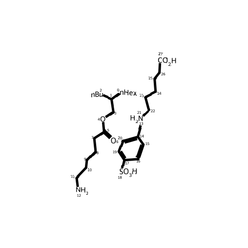 CCCCCCC(CCCC)COC(=O)CCCCCN.Cc1ccc(S(=O)(=O)O)cc1.NCCCCCC(=O)O